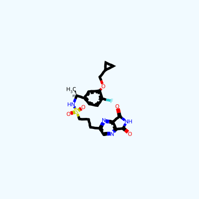 C[C@@H](NS(=O)(=O)CCCc1cnc2c(n1)C(=O)NC2=O)c1ccc(F)c(OCC2CC2)c1